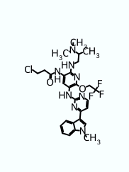 CC(CNc1nc(OCC(F)(F)F)c(Nc2nccc(-c3cn(C)c4ccccc34)n2)cc1NC(=O)CCCl)N(C)C